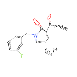 CNC(=O)c1cc(C(=O)O)cn(Cc2cccc(F)c2)c1=O